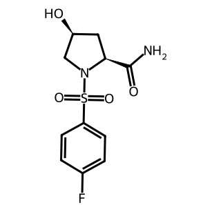 NC(=O)[C@@H]1C[C@H](O)CN1S(=O)(=O)c1ccc(F)cc1